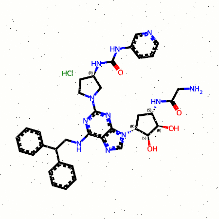 Cl.NCC(=O)N[C@H]1C[C@@H](n2cnc3c(NCC(c4ccccc4)c4ccccc4)nc(N4CC[C@@H](NC(=O)Nc5cccnc5)C4)nc32)[C@H](O)[C@@H]1O